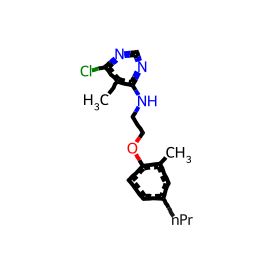 CCCc1ccc(OCCNc2ncnc(Cl)c2C)c(C)c1